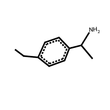 CCc1ccc(C(C)N)cc1